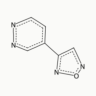 c1cc(-c2cnon2)cnn1